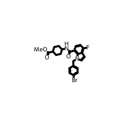 COC(=O)C1CCC(NC(=O)c2ccc(F)c3ccn(Cc4ccc(Br)cc4)c23)CC1